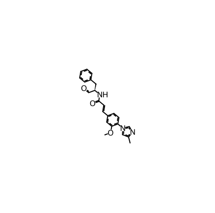 COc1cc(C=CC(=O)N[C@@H](C=O)Cc2ccccc2)ccc1-n1cnc(C)c1